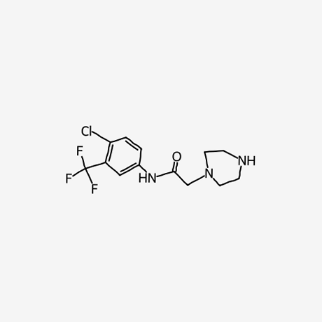 O=C(CN1CCNCC1)Nc1ccc(Cl)c(C(F)(F)F)c1